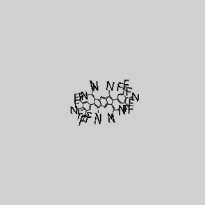 N#CC(C#N)=C1C(c2cc(C(F)(F)F)c(C#N)c(C(F)(F)F)c2)=C(C#N)c2cc3c(cc21)C(C#N)=C(c1cc(C(F)(F)F)c(C#N)c(C(F)(F)F)c1)C3=C(C#N)C#N